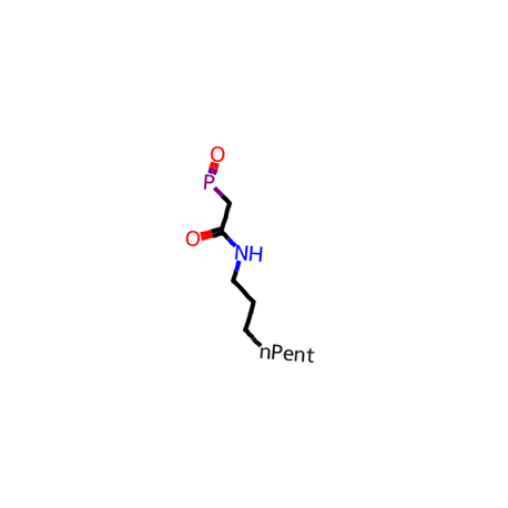 CCCCCCCCNC(=O)CP=O